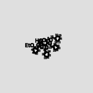 CCOC(=O)C(F)(F)[C@]1(O)O[C@H](COCc2ccccc2)[C@@H](OCc2ccccc2)[C@H](OCc2ccccc2)[C@H]1OCc1ccccc1